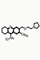 CCNc1c2c(nc3cc(COCCN4CCCC4)c(OC)cc13)CCCC2